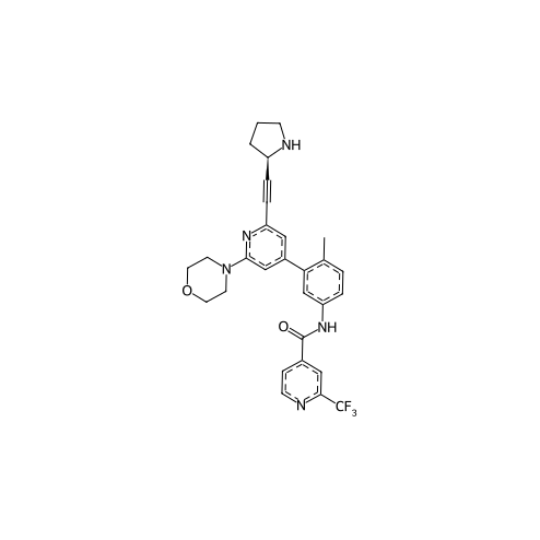 Cc1ccc(NC(=O)c2ccnc(C(F)(F)F)c2)cc1-c1cc(C#C[C@H]2CCCN2)nc(N2CCOCC2)c1